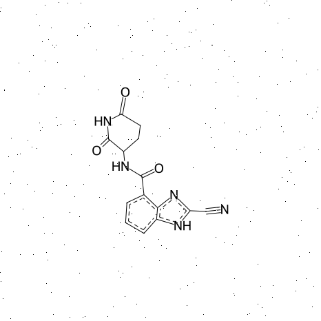 N#Cc1nc2c(C(=O)NC3CCC(=O)NC3=O)cccc2[nH]1